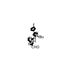 CC(C)(C)n1nc([C@@H]2C[CH][C@@H](F)C2)cc1Nc1nccc2nc(C=O)cn12